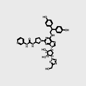 O=C(Nc1cccnc1)NC1CCN(c2nc(NCC(c3ccc(O)cc3)c3ccc(O)cc3)c3ncn([C@@H]4C[C@H](n5nnc(CO)n5)[C@@H](O)[C@H]4O)c3n2)C1